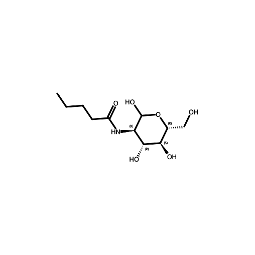 CCCCC(=O)N[C@H]1C(O)O[C@H](CO)[C@@H](O)[C@@H]1O